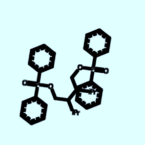 CC(C)C(COP(=O)(c1ccccc1)c1ccccc1)C(COP(=O)(c1ccccc1)c1ccccc1)C(C)C